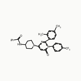 Cc1ccc(-c2nc(N3CCC(NC(=O)C(C)C)CC3)cc(=O)n2-c2ccc(C(F)(F)F)cc2)c(C)c1